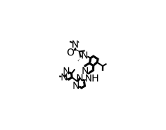 Cc1nn(C)cc1-c1nccc(Nc2cc3c(C(C)C)ccc(N4C[C@H](C(=O)N(C)C)[C@H]4C)c3cn2)n1